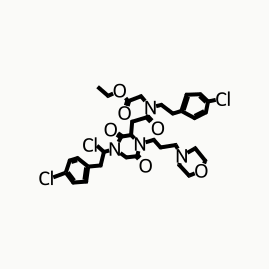 CCOC(=O)CN(CCc1ccc(Cl)cc1)C(=O)CC1C(=O)N(C(Cl)Cc2ccc(Cl)cc2)CC(=O)N1CCCN1CCOCC1